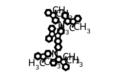 CC1(C)c2ccccc2-c2ccc(N(c3ccc4c(c3)C3(c5ccccc5-c5ccccc53)c3cc5cc(N(c6ccc7c(c6)C(C)(C)c6ccccc6-7)c6cc7c(c8ccccc68)-c6ccccc6C7(C)C)ccc5cc3-4)c3cc4c(c5ccccc35)-c3ccccc3C4(C)C)cc21